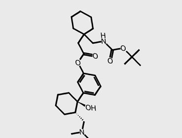 CN(C)C[C@@H]1CCCC[C@]1(O)c1cccc(OC(=O)CC2(CNC(=O)OC(C)(C)C)CCCCC2)c1